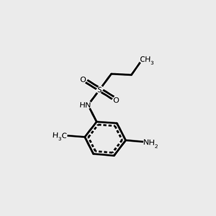 CCCS(=O)(=O)Nc1cc(N)ccc1C